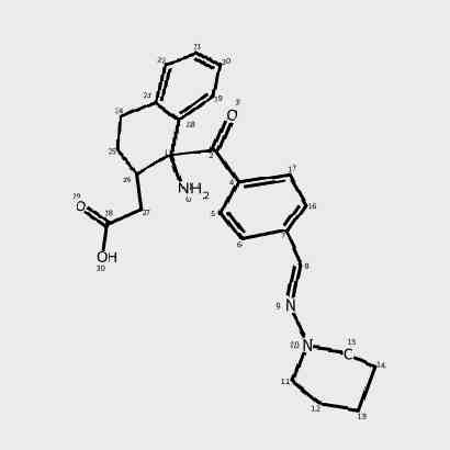 NC1(C(=O)c2ccc(C=NN3CCCCC3)cc2)c2ccccc2CCC1CC(=O)O